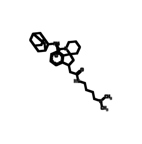 CN(C)CCCCNC(=O)CC1CC2(CCCCN2C(=O)NC2C3CC4CC(C3)CC2C4)c2c(Br)cccc21